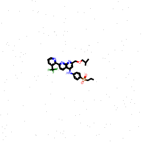 CCCS(=O)(=O)c1ccc(Nc2cc(COCC(C)C)nc3nc(-c4ncccc4C(F)(F)F)ccc23)cc1